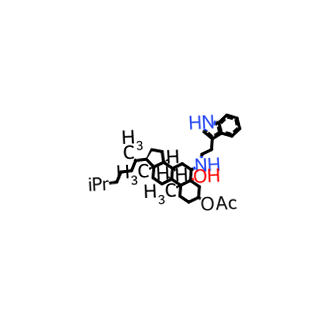 CC(=O)OC1CC[C@]2(C)[C@H]3CC[C@]4(C)[C@@H]([C@H](C)CCCC(C)C)CC[C@H]4[C@@H]3CC(NCCc3c[nH]c4ccccc34)C2(O)C1